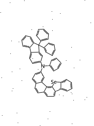 c1ccc(N(c2ccc3c(c2)C(c2ccccc2)(c2ccccc2)c2ccccc2-3)c2ccc3ccc4ccc5c6ccccc6[se]c5c4c3c2)cc1